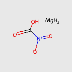 O=C(O)[N+](=O)[O-].[MgH2]